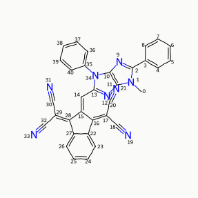 Cn1c(-c2ccccc2)nc2c1nc(C=C1C(=C(C#N)C#N)c3ccccc3C1=C(C#N)C#N)n2-c1ccccc1